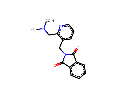 CC(C)(C)N(Cc1ncccc1CN1C(=O)c2ccccc2C1=O)C(=O)O